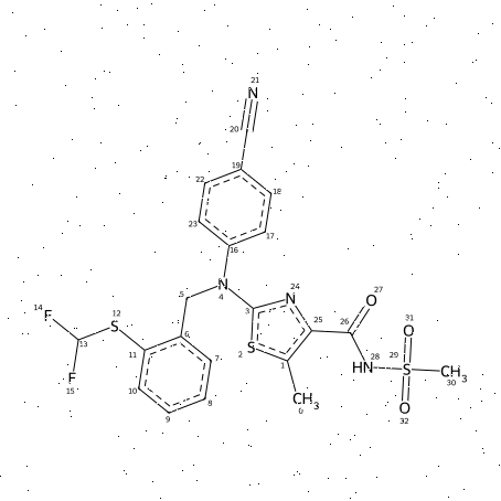 Cc1sc(N(Cc2ccccc2SC(F)F)c2ccc(C#N)cc2)nc1C(=O)NS(C)(=O)=O